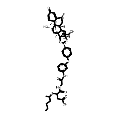 CCCCC(C)SC(CC(=O)O)C(=O)NCC(=O)Nc1cccc(Sc2ccc([C@@H]3O[C@@H]4CC5[C@@H]6C[C@H](F)C7=CC(=O)C=C[C@]7(C)[C@@]6(F)[C@@H](O)C[C@]5(C)[C@]4(C(=O)CO)O3)cc2)c1